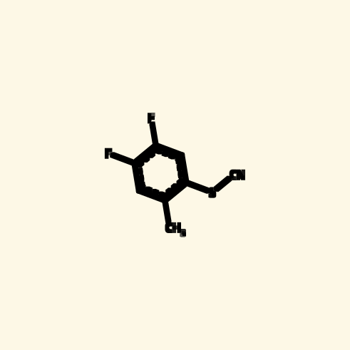 Cc1cc(F)c(F)cc1SC#N